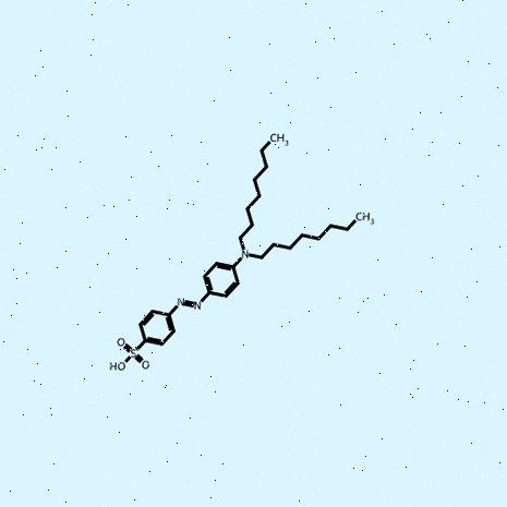 CCCCCCCCN(CCCCCCCC)c1ccc(/N=N/c2ccc(S(=O)(=O)O)cc2)cc1